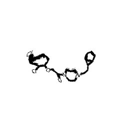 O=C(COc1ccc(Cl)cc1Cl)N1CCN(CC2CC3C=CC2C3)CC1